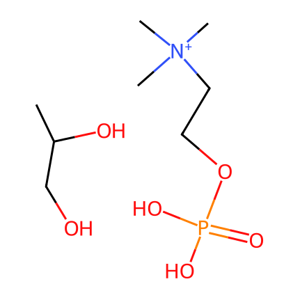 CC(O)CO.C[N+](C)(C)CCOP(=O)(O)O